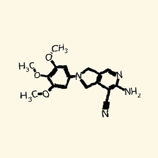 COc1cc(N2Cc3cnc(N)c(C#N)c3C2)cc(OC)c1OC